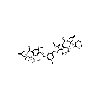 C=C1C[C@H]2[C@H](C)N(B(C)O)c3cc(OCc4cc(I)cc(COc5cc6c(cc5OC)C(=O)N5CC(=C)C[C@H]5[C@H](OC5CCCCO5)N6B(C)O)c4)c(OC)cc3C(=O)N2C1